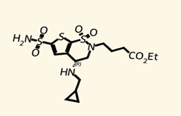 CCOC(=O)CCCN1C[C@H](NCC2CC2)c2cc(S(N)(=O)=O)sc2S1(=O)=O